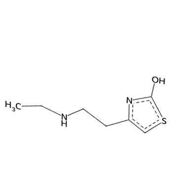 CCNCCc1csc(O)n1